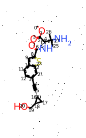 COC(=O)[C@@H](NC(=O)c1cc2ccc(C#C[C@@H]3CC3CO)cc2s1)C(C)(C)N